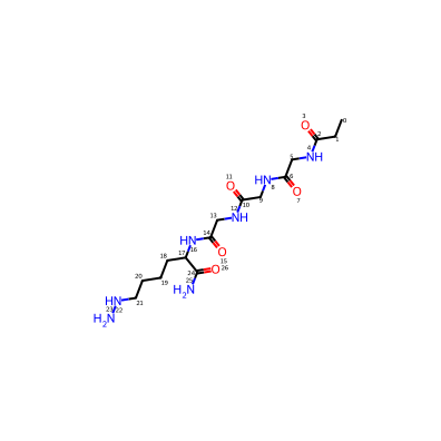 CCC(=O)NCC(=O)NCC(=O)NCC(=O)NC(CCCCNN)C(N)=O